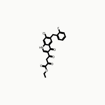 CCOC(=O)C(=O)CC(=O)c1c[nH]c2cc(Cl)c(Cc3ccccc3F)cc2c1=O